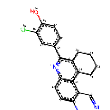 N=Cc1c(N)ccc2nc(-c3ccc(O)c(Cl)c3)c3c(c12)CCCC3